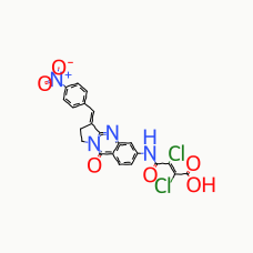 O=C(O)C(Cl)=C(Cl)C(=O)Nc1ccc2c(=O)n3c(nc2c1)C(=Cc1ccc([N+](=O)[O-])cc1)CC3